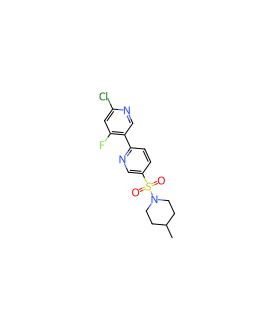 CC1CCN(S(=O)(=O)c2ccc(-c3cnc(Cl)cc3F)nc2)CC1